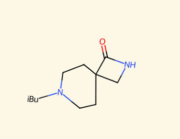 CCC(C)N1CCC2(CC1)CNC2=O